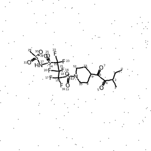 CCC(C)C(=O)C(=O)C1CCN(S(=O)(=O)C(F)(F)C(F)(F)C(F)(F)S(=O)(=O)NS(C)(=O)=O)CC1